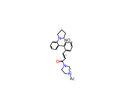 CC(=O)N1CCN(C(=O)/C=C/c2cc[c]c([N+](=O)[O-])c2-c2ccccc2N2CCCC2)CC1